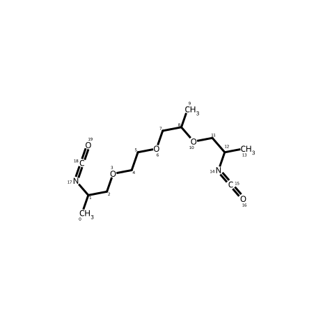 CC(COCCOCC(C)OCC(C)N=C=O)N=C=O